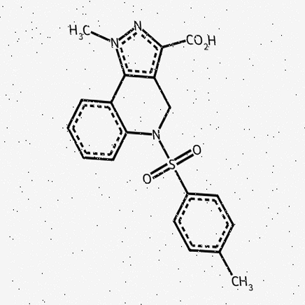 Cc1ccc(S(=O)(=O)N2Cc3c(C(=O)O)nn(C)c3-c3ccccc32)cc1